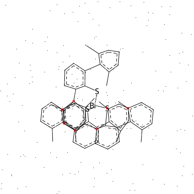 Cc1cccc(C)c1-c1cccc(-c2c(C)cccc2C)c1[S][Bi]([S]c1c(-c2c(C)cccc2C)cccc1-c1c(C)cccc1C)[S]c1c(-c2c(C)cccc2C)cccc1-c1c(C)cccc1C